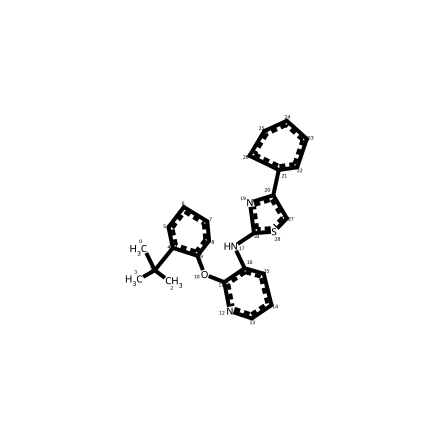 CC(C)(C)c1ccccc1Oc1ncccc1Nc1nc(-c2ccccc2)cs1